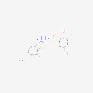 COc1ccc2nc(NS(=O)(=O)c3cc(Br)cc(Cl)c3O)sc2c1